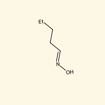 C[CH]CCC=NO